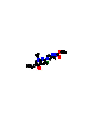 C[C@@H](NC(=O)OC(C)(C)C)C1CCN(c2nc3c(cc2F)c(=O)c(C(=O)O)cn3C2CC2)C1